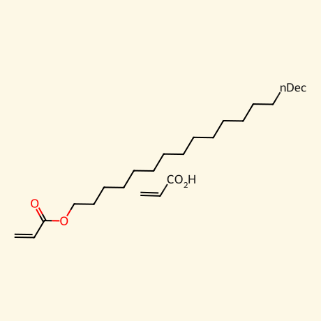 C=CC(=O)O.C=CC(=O)OCCCCCCCCCCCCCCCCCCCCCCCC